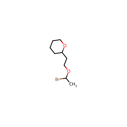 CC(Br)OCCC1CCCCO1